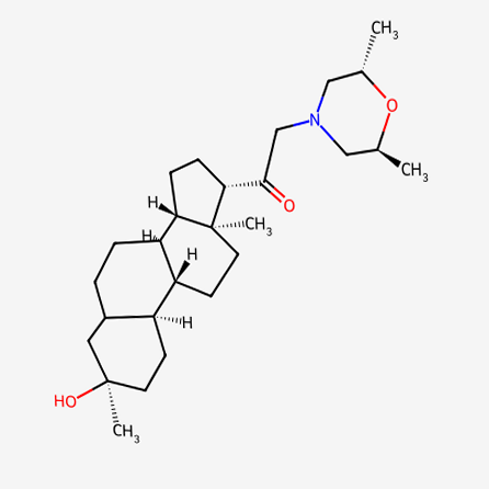 C[C@H]1CN(CC(=O)[C@H]2CC[C@H]3[C@@H]4CCC5C[C@](C)(O)CC[C@@H]5[C@H]4CC[C@]23C)C[C@H](C)O1